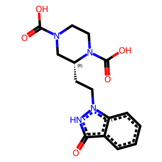 O=C(O)N1CCN(C(=O)O)[C@H](CCn2[nH]c(=O)c3ccccc32)C1